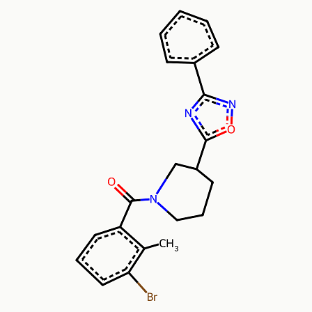 Cc1c(Br)cccc1C(=O)N1CCCC(c2nc(-c3ccccc3)no2)C1